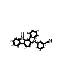 N#Cc1cccc(-n2c3ccccc3c3c4[nH]c5ccccc5c4ccc32)c1